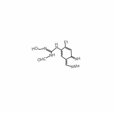 CCC1=CC(=N)/C(=C\NC)C=C1N/C(=N/CO)NC=O